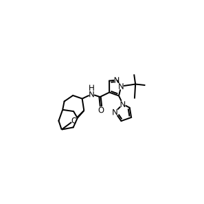 CC(C)(C)n1ncc(C(=O)NC2CCC3CC4CC(C3)C2C4)c1-n1cccn1